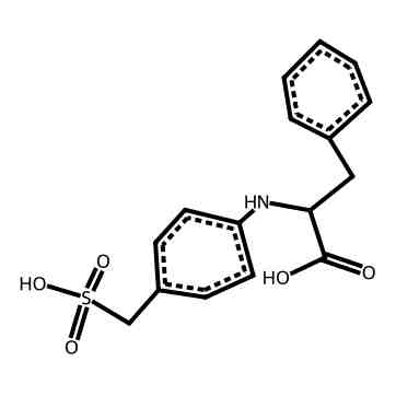 O=C(O)C(Cc1ccccc1)Nc1ccc(CS(=O)(=O)O)cc1